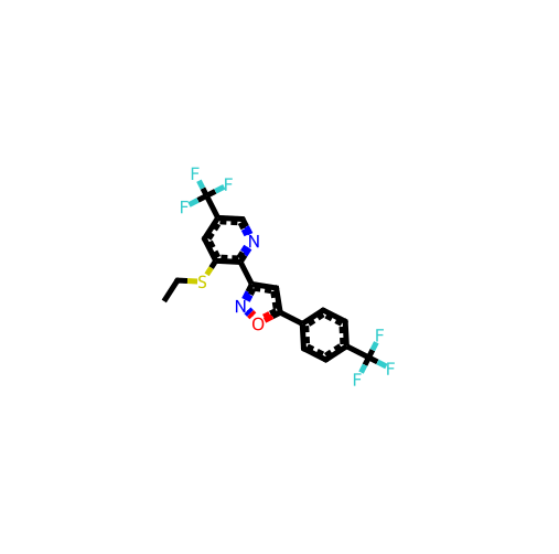 CCSc1cc(C(F)(F)F)cnc1-c1cc(-c2ccc(C(F)(F)F)cc2)on1